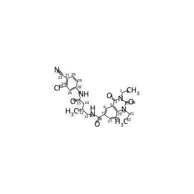 CCn1c(=O)c2cc(C(=O)NCC(C)CC(=O)Nc3ccc(C#N)c(Cl)c3)ccc2n(CC)c1=O